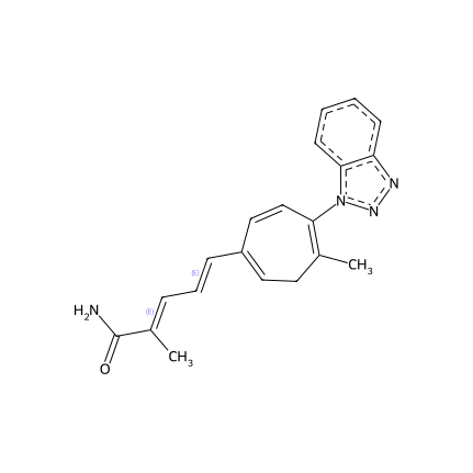 CC1=C(n2nnc3ccccc32)C=CC(/C=C/C=C(\C)C(N)=O)=CC1